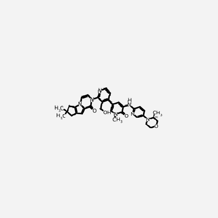 C[C@H]1COCCN1c1ccc(Nc2cc(-c3ccnc(-n4ccn5c6c(cc5c4=O)CC(C)(C)C6)c3CO)cn(C)c2=O)nc1